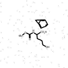 CC(C)(C)OC(=O)NC(CCCO)C(=O)O.c1ccc2c(c1)C2